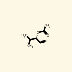 CC(C)[C@@H](C=O)OC(N)=O